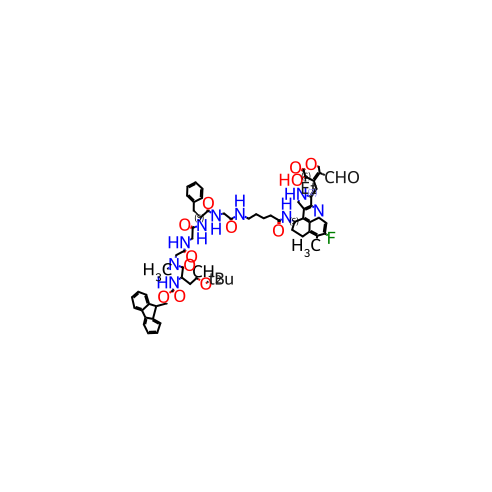 C=C(CC(NC(=O)OCC1c2ccccc2-c2ccccc21)C(=O)N(C)CC(=O)NCC(=O)N[C@@H](Cc1ccccc1)C(=O)NCC(=O)NCCCCC(=O)N[C@H]1CCc2c(C)c(F)cc3nc4c(c1c23)CN/C4=C\C1=C(C=O)COC(=O)[C@]1(O)CC)OC(C)(C)C